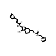 N#Cc1c(NC(=O)C=Cc2cccs2)sc2c1CCC(COC(=O)NCc1nccs1)C2